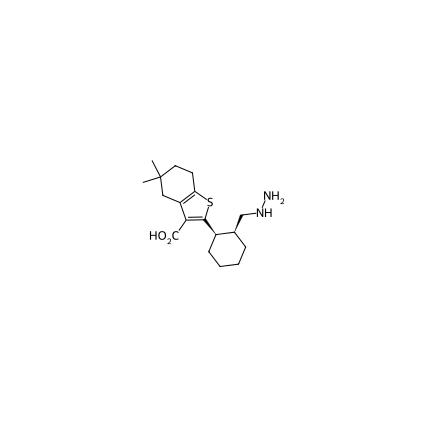 CC1(C)CCc2sc([C@@H]3CCCC[C@@H]3CNN)c(C(=O)O)c2C1